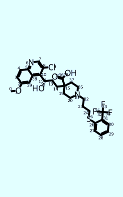 COc1ccc2ncc(Cl)c([C@@H](O)CCC3(C(=O)O)CCN(CCCSc4ccccc4C(F)(F)F)CC3)c2c1